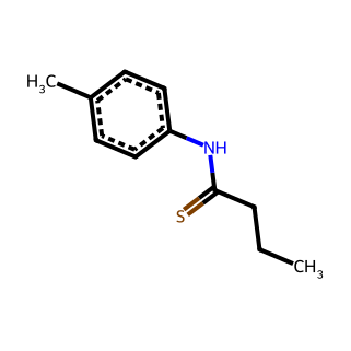 CCCC(=S)Nc1ccc(C)cc1